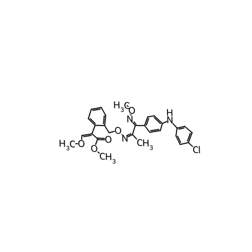 COC=C(C(=O)OC)c1ccccc1CON=C(C)C(=NOC)c1ccc(Nc2ccc(Cl)cc2)cc1